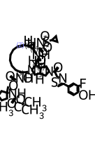 CC(C)(C)OC(=O)NC1(COC(=O)N[C@H]2CCCCC/C=C\[C@@H]3C[C@@]3(C(=O)NS(=O)(=O)C3CC3)NC(=O)[C@@H]3[C@H]4CN(C(=O)c5nc(-c6ccc(O)c(F)c6)cs5)C[C@H]4CN3C2=O)CCCC1